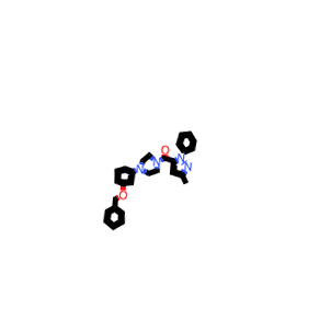 Cc1cc(C(=O)N2CCN(c3cccc(OCc4ccccc4)c3)CC2)n(-c2ccccc2)n1